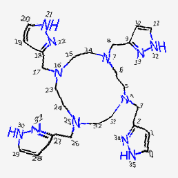 c1cc(CN2CCN(Cc3cc[nH]n3)CCN(Cc3cc[nH]n3)CCN(Cc3cc[nH]n3)CC2)n[nH]1